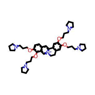 c1c2c(cc(OCCCN3CCCC3)c1OCCCN1CCCC1)-c1cc3ccc(OCCCN4CCCC4)c(OCCCN4CCCC4)c3c[n+]1CC2